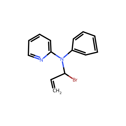 C=CC(Br)N(c1ccccc1)c1ccccn1